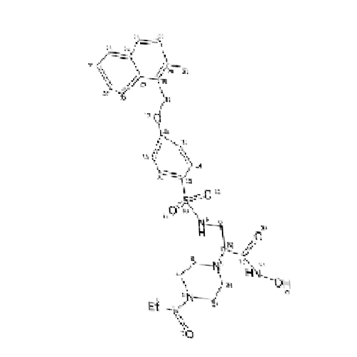 CCC(=O)N1CCN([C@@H](CNS(=O)(=O)c2ccc(OCc3c(C)ccc4ccccc34)cc2)C(=O)NO)CC1